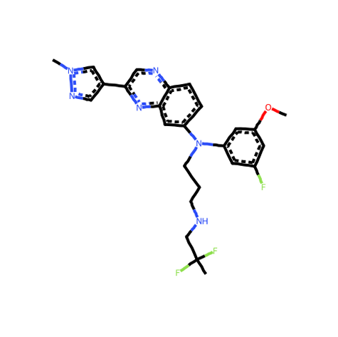 COc1cc(F)cc(N(CCCNCC(C)(F)F)c2ccc3ncc(-c4cnn(C)c4)nc3c2)c1